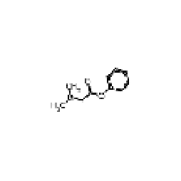 [CH3][Bi]([CH3])[CH2]C(=O)Oc1ccccc1